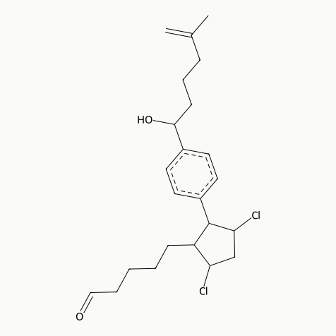 C=C(C)CCCC(O)c1ccc(C2C(Cl)CC(Cl)C2CCCCC=O)cc1